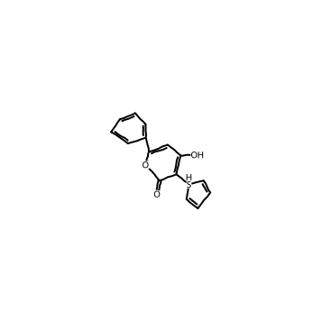 O=c1oc(-c2ccccc2)cc(O)c1[SH]1C=CC=C1